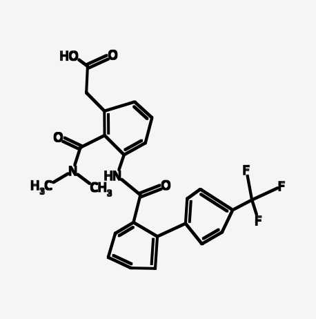 CN(C)C(=O)c1c(CC(=O)O)cccc1NC(=O)c1ccccc1-c1ccc(C(F)(F)F)cc1